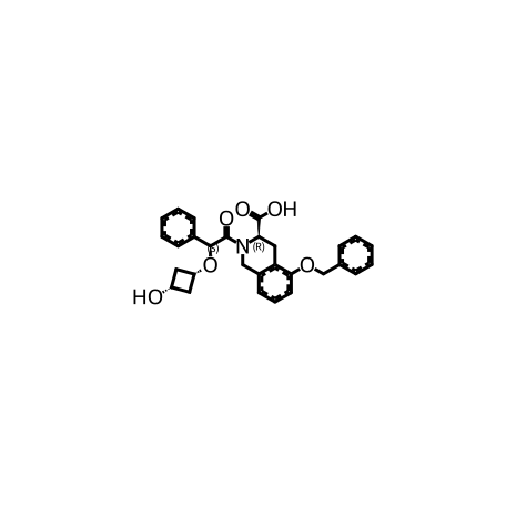 O=C(O)[C@H]1Cc2c(cccc2OCc2ccccc2)CN1C(=O)[C@@H](O[C@H]1C[C@@H](O)C1)c1ccccc1